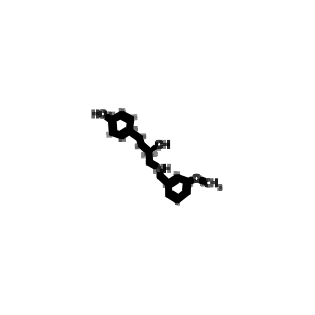 COc1cccc(CNC[C@H](O)[CH]Cc2ccc(O)cc2)c1